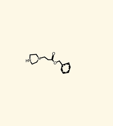 O=C(CCN1CCNCC1)OCc1ccccc1